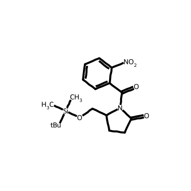 CC(C)(C)[Si](C)(C)OCC1CCC(=O)N1C(=O)c1ccccc1[N+](=O)[O-]